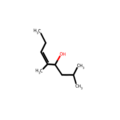 CCC=C(C)C(O)CC(C)C